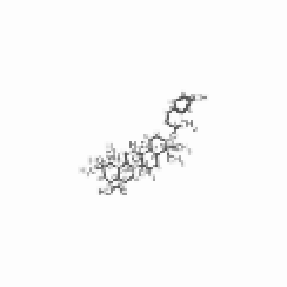 C=C(/C=C\c1ccc(O)cc1)O[C@H]1CC[C@@]2(C)C(CC[C@]3(C)C2CC=C2[C@@H]4[C@@H](C)[C@@](C)(O)CC[C@]4(C(=O)O)CC[C@]23C)C1(C)C